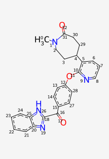 CN1CCC(c2cccnc2Oc2ccc(C(=O)c3nc4ccccc4[nH]3)cc2)CCC1=O